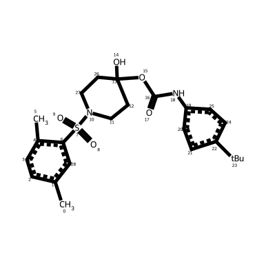 Cc1ccc(C)c(S(=O)(=O)N2CCC(O)(OC(=O)Nc3ccc(C(C)(C)C)cc3)CC2)c1